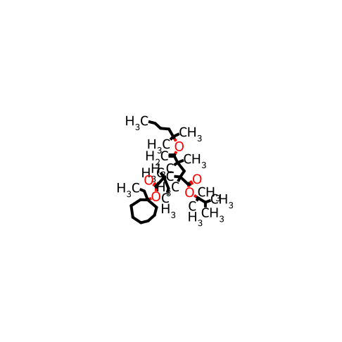 C=C(OC(C)(C)CCCC)C(C)(C)CC(C)(CC(C)(CC)C(=O)OC1(CC)CCCCCCC1)C(=O)OC(C)(C)C(C)C